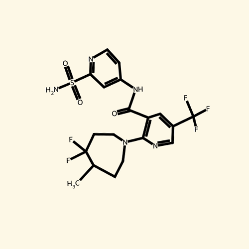 CC1CCN(c2ncc(C(F)(F)F)cc2C(=O)Nc2ccnc(S(N)(=O)=O)c2)CCC1(F)F